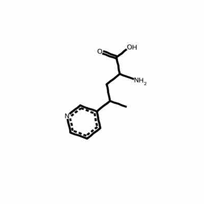 CC(CC(N)C(=O)O)c1cccnc1